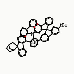 CC(C)(C)c1ccc2c(c1)C1(c3ccccc3-c3ccc(N(c4ccccc4-c4ccccc4)c4ccccc4-c4cccc5c4-c4ccccc4C54CC5CCC4C5)cc31)c1cc(C(C)(C)C)ccc1-2